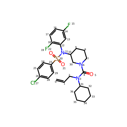 C=CCN(C(=O)N1CCCC(N(c2cc(F)ccc2F)S(=O)(=O)c2ccc(Cl)cc2)C1)C1CCCCC1